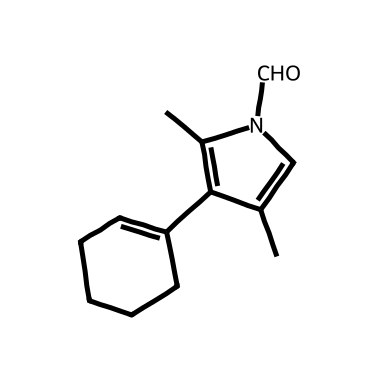 Cc1cn(C=O)c(C)c1C1=CCCCC1